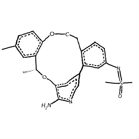 Cc1ccc2c(c1)[C@@H](C)Oc1cc(cnc1N)-c1cc(N=S(C)(C)=O)ccc1CCO2